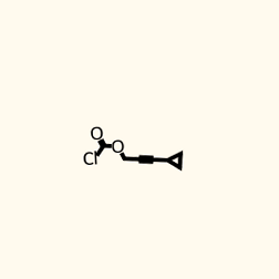 O=C(Cl)OCC#CC1CC1